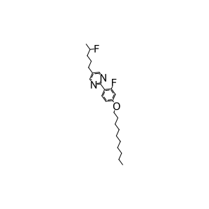 CCCCCCCCCCOc1ccc(-c2ncc(CCCC(C)F)cn2)c(F)c1